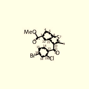 COC(=O)c1ccc2sc(C)c(C(=O)c3ccc(Br)cc3Cl)c2c1